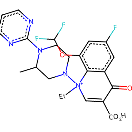 CC[N+]1(N2CCN(c3ncccn3)C(C)C2)C=C(C(=O)O)C(=O)c2cc(F)cc(OC(F)F)c21